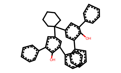 Oc1c(-c2ccccc2)cc(C2(c3cc(-c4ccccc4)c(O)c(-c4ccccc4)c3)CCCCC2)cc1-c1ccccc1